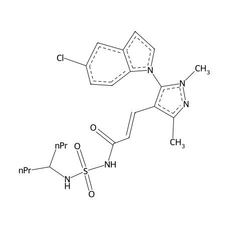 CCCC(CCC)NS(=O)(=O)NC(=O)C=Cc1c(C)nn(C)c1-n1ccc2cc(Cl)ccc21